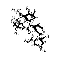 COc1c([C@H]2[C@H](C(=O)Nc3ccnc(N4C(=O)CN(C)C[C@@H]4CO)c3)O[C@@](C)(C(F)(F)F)[C@H]2C)ccc(F)c1F